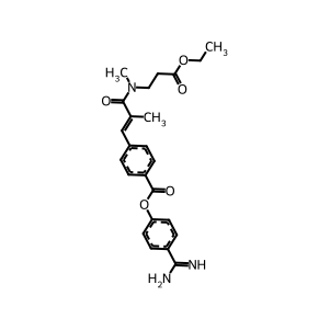 CCOC(=O)CCN(C)C(=O)/C(C)=C/c1ccc(C(=O)Oc2ccc(C(=N)N)cc2)cc1